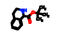 CC(C)(C)OC(=O)[C]1NCCc2ccccc21